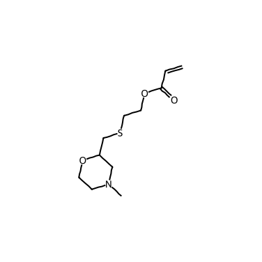 C=CC(=O)OCCSCC1CN(C)CCO1